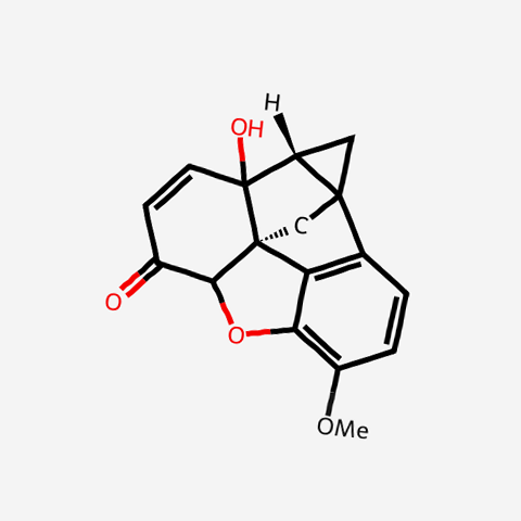 COc1ccc2c3c1OC1C(=O)C=CC4(O)[C@@H]5CC25C[C@]314